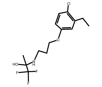 CCc1cc(OCCCNC(C)(O)C(F)(F)F)ccc1Cl